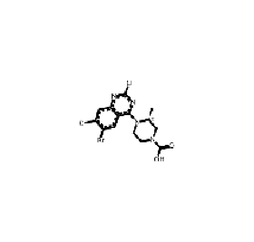 C[C@H]1CN(C(=O)O)CCN1c1nc(Cl)nc2cc(Cl)c(Br)cc12